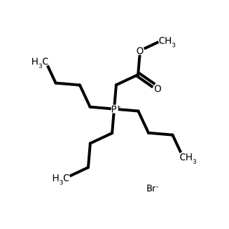 CCCC[P+](CCCC)(CCCC)CC(=O)OC.[Br-]